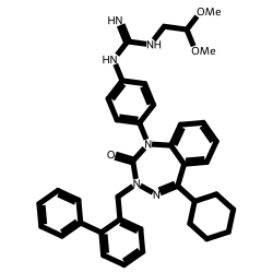 COC(CNC(=N)Nc1ccc(N2C(=O)N(Cc3ccccc3-c3ccccc3)N=C(C3CCCCC3)c3ccccc32)cc1)OC